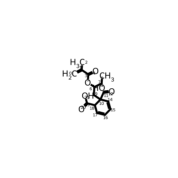 C=C(C)C(=O)OC(CC)CC1(C(=O)O)C=CC=CC1C(=O)O